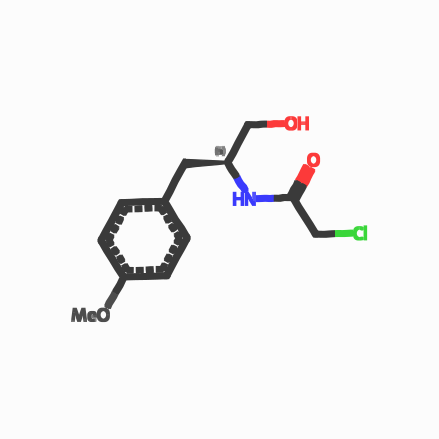 COc1ccc(C[C@@H](CO)NC(=O)CCl)cc1